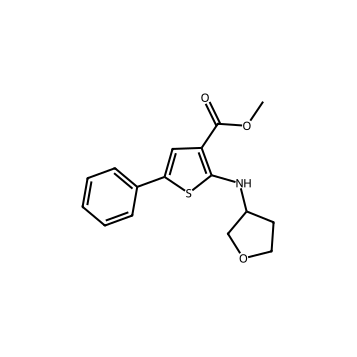 COC(=O)c1cc(-c2ccccc2)sc1NC1CCOC1